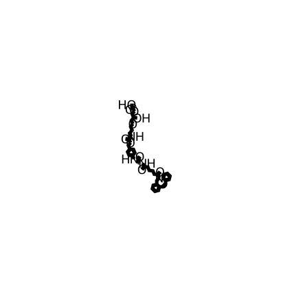 CP(=O)(O)OCC(O)COCCCNC(=O)OCc1ccc(NC(=O)CNC(=O)CCCCC(=O)N2Cc3ccccc3C#Cc3ccccc32)cc1